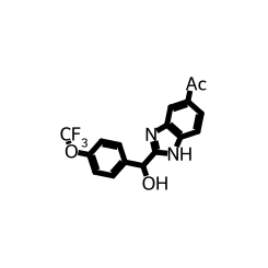 CC(=O)c1ccc2[nH]c(C(O)c3ccc(OC(F)(F)F)cc3)nc2c1